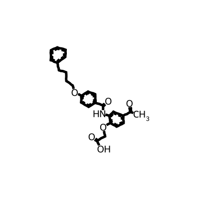 CC(=O)c1ccc(OCC(=O)O)c(NC(=O)c2ccc(OCCCCc3ccccc3)cc2)c1